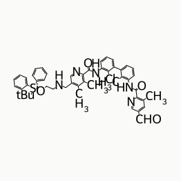 Cc1cc(C=O)cnc1C(=O)Nc1cccc(-c2cccc(NC(=O)c3ncc(CNCCO[Si](c4ccccc4)(c4ccccc4)C(C)(C)C)c(C)c3C)c2Cl)c1C